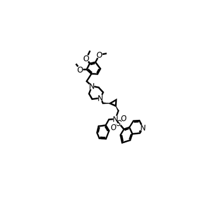 COc1ccc(CN2CCN(C[C@H]3C[C@H]3CN(Cc3ccccc3)S(=O)(=O)c3cccc4cnccc34)CC2)c(OC)c1OC